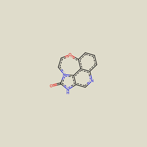 O=c1[nH]c2cnc3cccc4occn1c2c34